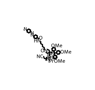 COc1ccc(C(OCC2(COP(O)N(C(C)C)C(C)(C)CCC#N)CCN(C(=O)CCCCCNC(=O)c3ccc(/N=N/c4ccc(N(C)C)cc4)cc3)CC2)(c2ccc(OC)cc2)c2ccc(OC)cc2)cc1